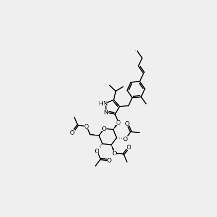 [CH2]C/C=C/c1ccc(Cc2c(O[C@@H]3O[C@H](COC(C)=O)[C@@H](OC(C)=O)[C@H](OC(C)=O)[C@H]3OC(C)=O)n[nH]c2C(C)C)c(C)c1